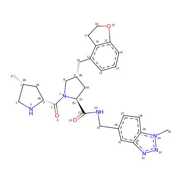 C[C@H]1CN[C@@H](C(=O)N2C[C@H](Cc3cccc4c3CCO4)C[C@H]2C(=O)NCc2ccc3c(c2)nnn3C)C1